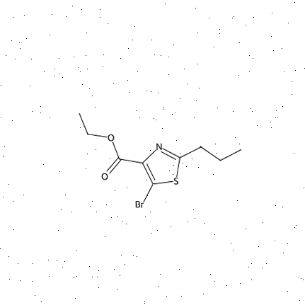 CCCc1nc(C(=O)OCC)c(Br)s1